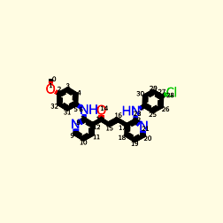 COc1ccc(Nc2ncccc2C(=O)C=Cc2cccnc2Nc2ccc(Cl)cc2)cc1